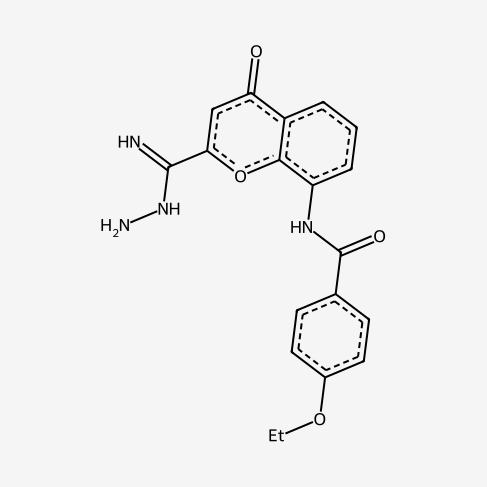 CCOc1ccc(C(=O)Nc2cccc3c(=O)cc(C(=N)NN)oc23)cc1